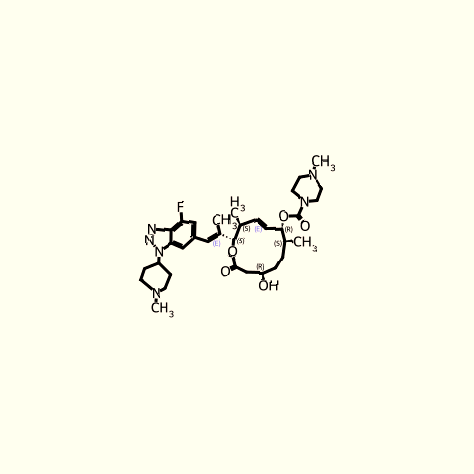 C/C(=C\c1cc(F)c2nnn(C3CCN(C)CC3)c2c1)[C@H]1OC(=O)C[C@H](O)CC[C@H](C)[C@@H](OC(=O)N2CCN(C)CC2)/C=C/[C@@H]1C